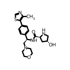 Cc1ncsc1-c1ccc([C@H](CN2CCOCC2)NC(=O)[C@@H]2C[C@@H](O)CN2)cc1